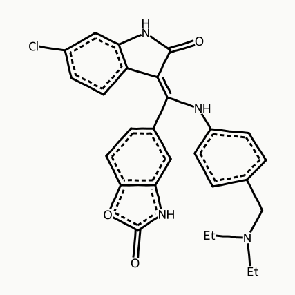 CCN(CC)Cc1ccc(N/C(=C2\C(=O)Nc3cc(Cl)ccc32)c2ccc3oc(=O)[nH]c3c2)cc1